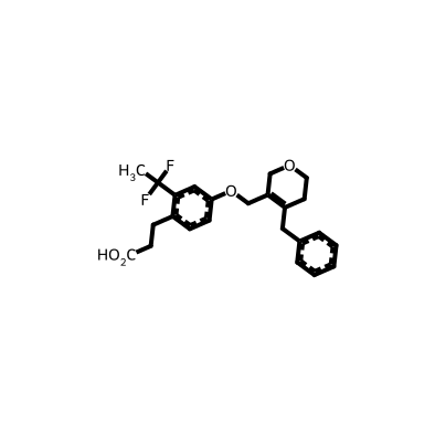 CC(F)(F)c1cc(OCC2=C(Cc3ccccc3)CCOC2)ccc1CCC(=O)O